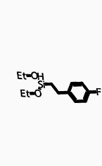 CCO[SiH](CCc1ccc(F)cc1)OCC